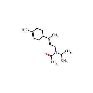 CC(=O)N(C/C=C(\C)C1CC=C(C)CC1)C(C)C